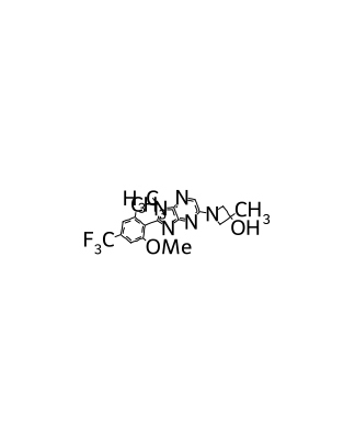 COc1cc(C(F)(F)F)cc(C)c1-c1nc2nc(N3CC(C)(O)C3)cnc2n1C